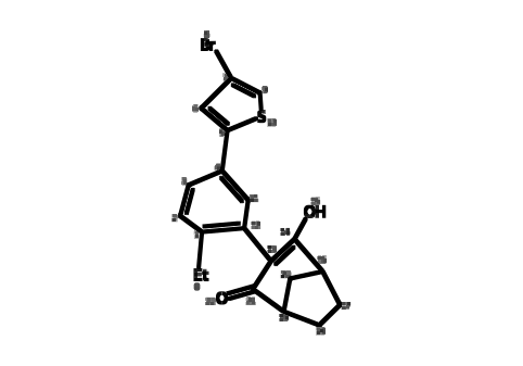 CCc1ccc(-c2cc(Br)cs2)cc1C1=C(O)C2CCC(C2)C1=O